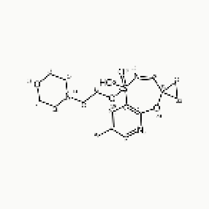 Cc1cnc2c(c1)S(=O)(O)(OCCN1CCOCC1)N=CC1(CC1)O2